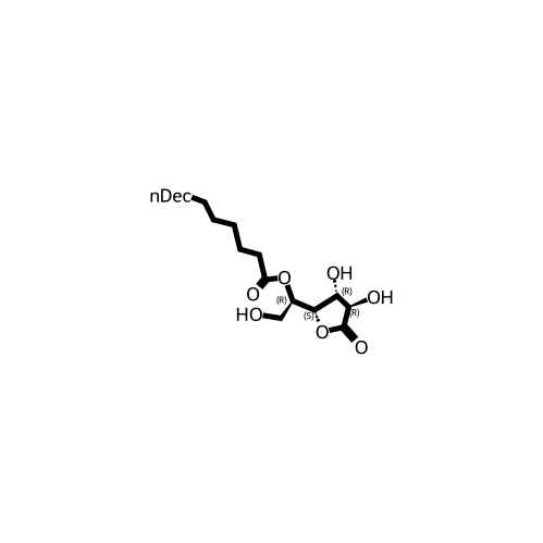 CCCCCCCCCCCCCCCC(=O)O[C@H](CO)[C@H]1OC(=O)[C@H](O)[C@H]1O